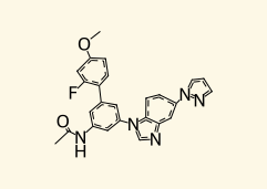 COc1ccc(-c2cc(NC(C)=O)cc(-n3cnc4cc(-n5cccn5)ccc43)c2)c(F)c1